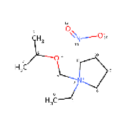 CC[N+]1(COC(C)C)CCCC1.O=N[O-]